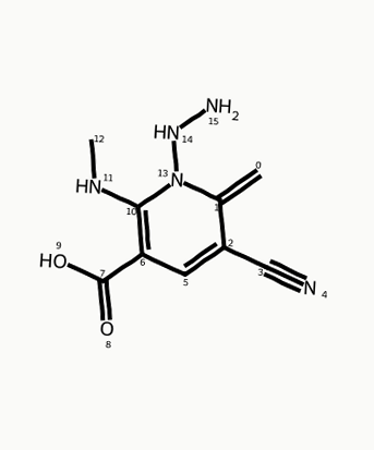 C=C1C(C#N)=CC(C(=O)O)=C(NC)N1NN